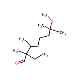 CCC(C)(C=O)C(C)CCCC(C)(C)OC